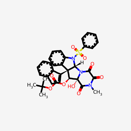 CN1C(=O)C(=O)N2[C@H]3N(S(=O)(=O)c4ccccc4)c4ccccc4[C@@]3(C3=CCc4ccccc43)[C@H](OC(=O)OC(C)(C)C)[C@]2(O)C1=O